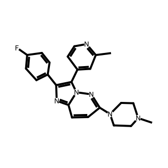 Cc1cc(-c2c(-c3ccc(F)cc3)nc3ccc(N4CCN(C)CC4)nn23)ccn1